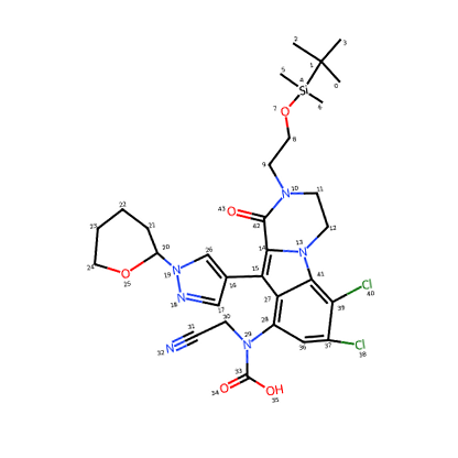 CC(C)(C)[Si](C)(C)OCCN1CCn2c(c(-c3cnn(C4CCCCO4)c3)c3c(N(CC#N)C(=O)O)cc(Cl)c(Cl)c32)C1=O